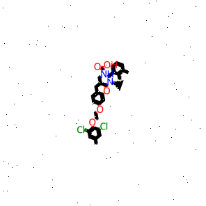 Cc1cc(Cl)c(OCCOc2ccc(CC(CNC(=O)O)C(=O)N(Cc3cccc(C)c3C)C3CC3)cc2)c(Cl)c1